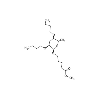 CCCCO[C@H]1C[C@@H](OCCCC)C(C)O[C@H]1OCCCCC(=O)OC